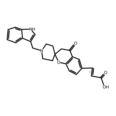 O=C(O)/C=C/c1ccc2c(c1)C(=O)CC1(CCN(Cc3c[nH]c4ccccc34)CC1)O2